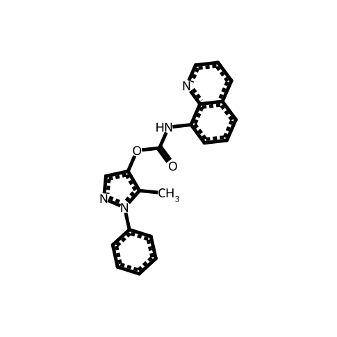 Cc1c(OC(=O)Nc2cccc3cccnc23)cnn1-c1ccccc1